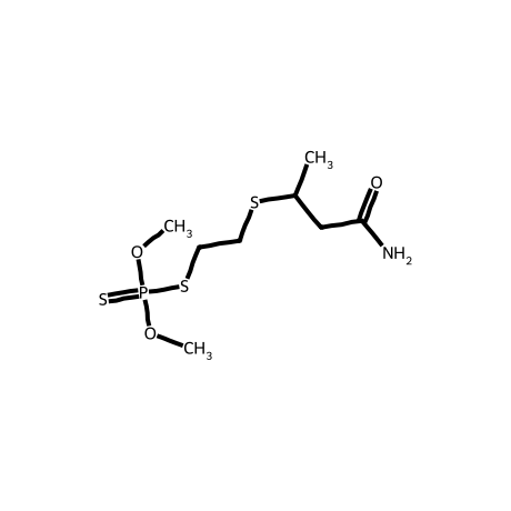 COP(=S)(OC)SCCSC(C)CC(N)=O